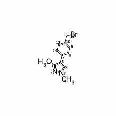 Cc1nn(C)cc1-c1ccc(CBr)cc1